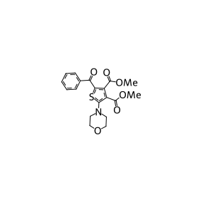 COC(=O)c1c(C(=O)c2ccccc2)sc(N2CCOCC2)c1C(=O)OC